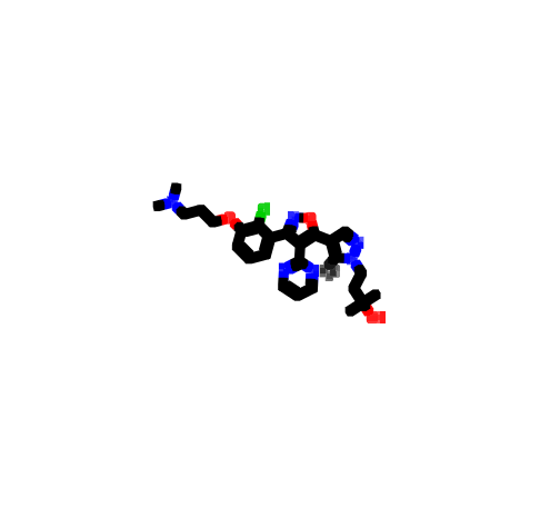 CN(C)CCCOc1cccc(-c2noc(-c3cnn(CCC(C)(C)O)c3C(F)(F)F)c2-c2ncccn2)c1Cl